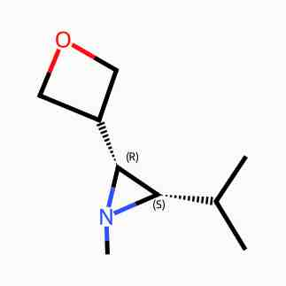 CC(C)[C@H]1[C@@H](C2COC2)N1C